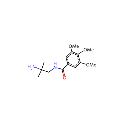 COc1cc(C(=O)NCC(C)(C)N)cc(OC)c1OC